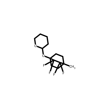 CC12CCC(OC3CCCCO3)(CC1)C(F)(F)C2(F)F